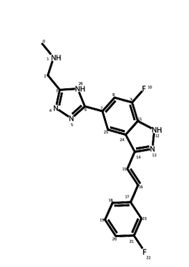 CNCc1nnc(-c2cc(F)c3[nH]nc(C=Cc4cccc(F)c4)c3c2)[nH]1